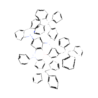 c1ccc(N2c3ccc([Si](c4ccccc4)(c4ccccc4)c4ccccc4)cc3B3c4ccc([Si](c5ccccc5)(c5ccccc5)c5ccccc5)cc4N(c4cccc([Si](c5ccccc5)(c5ccccc5)c5ccccc5)c4)c4cc(-n5c6ccccc6c6ccccc65)cc2c43)cc1